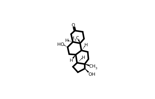 C[C@]12CCC(=O)C[C@@H]1[C@@H](O)C[C@@H]1[C@@H]2CC[C@]2(C)[C@@H](O)CC[C@@H]12